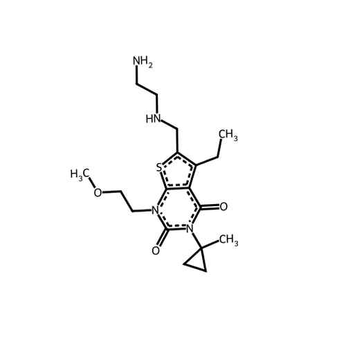 CCc1c(CNCCN)sc2c1c(=O)n(C1(C)CC1)c(=O)n2CCOC